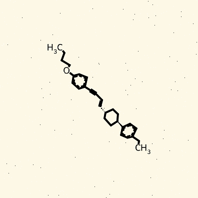 CCCCOc1ccc(C#C/C=C/[C@H]2CC[C@H](c3ccc(CC)cc3)CC2)cc1